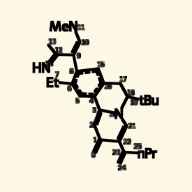 C=C1C=C2c3cc(CC)c(/C(=C/NC)C(C)=N)cc3CC(C(C)(C)C)N2C=C1C(=C)CCC